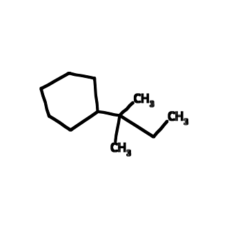 CCC(C)(C)C1CCCCC1